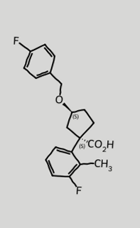 Cc1c(F)cccc1[C@]1(C(=O)O)CC[C@H](OCc2ccc(F)cc2)C1